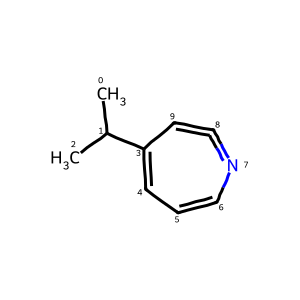 CC(C)C1=CC=CN=C=C1